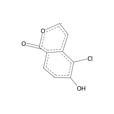 O=c1o[c]cc2c(Cl)c(O)ccc12